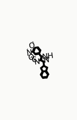 COc1ccc(-c2[nH]nc(C3Cc4ccccc4C3)c2N=C=O)cc1N(C)C